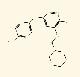 N#Cc1cnc(Nc2cc(NC[C@@H]3CNCCO3)c(Br)nn2)cn1